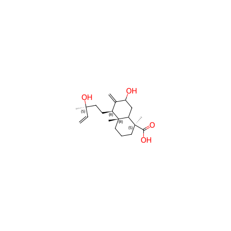 C=C[C@@](C)(O)CC[C@H]1C(=C)C(O)CC2[C@]1(C)CCC[C@]2(C)C(=O)O